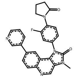 Cn1c(=O)n(-c2ccc(N3CCCC3=O)c(F)c2)c2c3cc(-c4cccnc4)ccc3ncc21